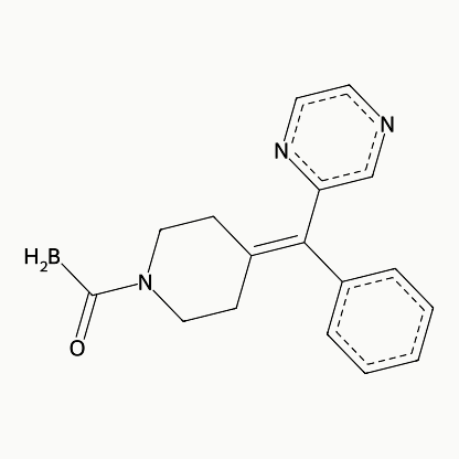 BC(=O)N1CCC(=C(c2ccccc2)c2cnccn2)CC1